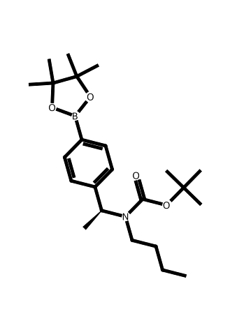 CCCCN(C(=O)OC(C)(C)C)[C@@H](C)c1ccc(B2OC(C)(C)C(C)(C)O2)cc1